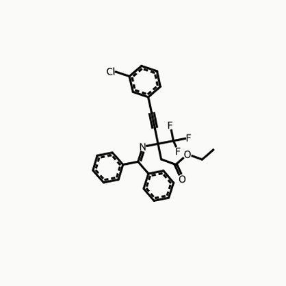 CCOC(=O)CC(C#Cc1cccc(Cl)c1)(N=C(c1ccccc1)c1ccccc1)C(F)(F)F